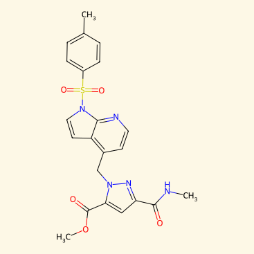 CNC(=O)c1cc(C(=O)OC)n(Cc2ccnc3c2ccn3S(=O)(=O)c2ccc(C)cc2)n1